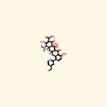 CCc1ccnc(-c2ccc(O)c3c2C[C@@H]2C[C@@H]4[C@@H](N(C)C)C(O)=C(C(N)=O)C(=O)[C@]4(O)C(O)=C2C3=O)c1